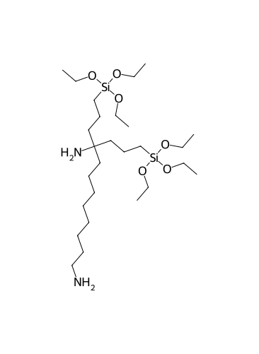 CCO[Si](CCCC(N)(CCCCCCCCN)CCC[Si](OCC)(OCC)OCC)(OCC)OCC